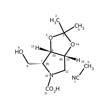 CC#N.CC1(C)O[C@H]2[C@@H](CO)N(C(=O)O)C[C@H]2O1